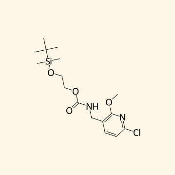 COc1nc(Cl)ccc1CNC(=O)OCCO[Si](C)(C)C(C)(C)C